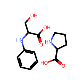 O=C(O)C(CO)Nc1ccccc1.O=C(O)C1CCCN1